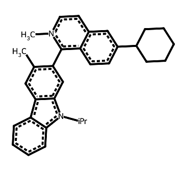 Cc1cc2c3ccccc3n(C(C)C)c2cc1-c1c2ccc(C3CCCCC3)cc2cc[n+]1C